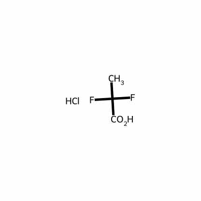 CC(F)(F)C(=O)O.Cl